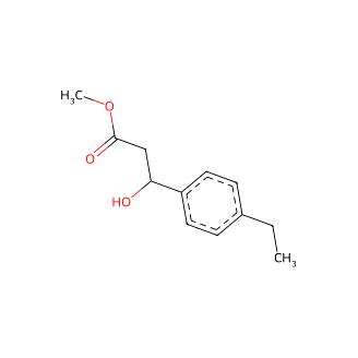 CCc1ccc(C(O)CC(=O)OC)cc1